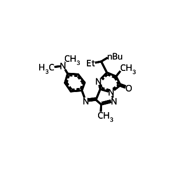 CCCCC(CC)c1nc2n(c(=O)c1C)N=C(C)C2=Nc1ccc(N(C)C)cc1